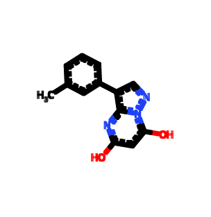 Cc1cccc(-c2cnn3c(O)cc(O)nc23)c1